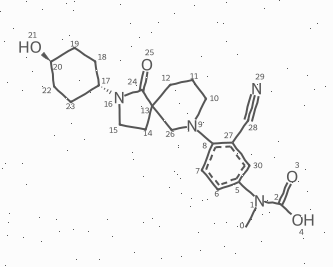 CN(C(=O)O)c1ccc(N2CCCC3(CCN([C@H]4CC[C@H](O)CC4)C3=O)C2)c(C#N)c1